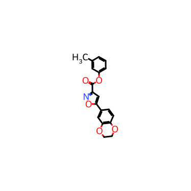 Cc1cccc(OC(=O)c2cc(-c3ccc4c(c3)OCCO4)on2)c1